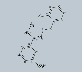 N#CN/C(=N\CCc1ccccc1Cl)c1cncc(C(=O)O)c1